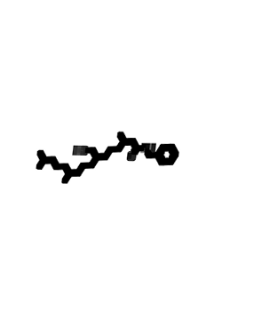 CC(C)=CCCC(C)=CCCC(=CCCC(C)=CC(=O)NCc1ccccc1)CO